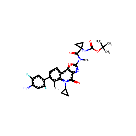 Cc1c(-c2cc(F)c(N)cc2F)ccc2c3oc(N(C)C(=O)C4(NC(=O)OC(C)(C)C)CC4)nc3c(=O)n(C3CC3)c12